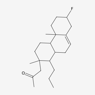 CCCC1C2CC=C3CC(F)CCC3(C)C2CCC1(C)CC(C)=O